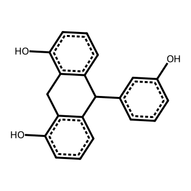 Oc1cccc(C2c3cccc(O)c3Cc3c(O)cccc32)c1